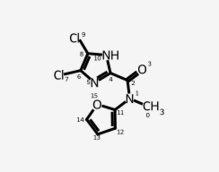 CN(C(=O)c1nc(Cl)c(Cl)[nH]1)c1ccco1